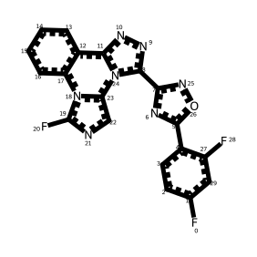 Fc1ccc(-c2nc(-c3nnc4c5ccccc5n5c(F)ncc5n34)no2)c(F)c1